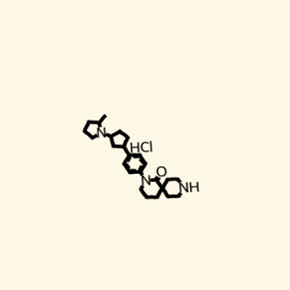 CC1CCCN1C1CCC(c2ccc(N3CCCC4(CCNCC4)C3=O)cc2)C1.Cl